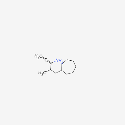 C=C=C(N)C(C)CC1CCCCCC1